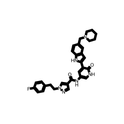 O=C(Nc1c[nH]c(=O)c(-c2cc3cc(CN4CCCCC4)ccc3[nH]2)c1)c1cnn(CCc2ccc(F)cc2)c1